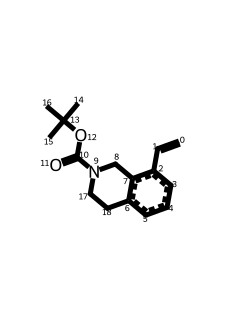 C=Cc1cccc2c1CN(C(=O)OC(C)(C)C)CC2